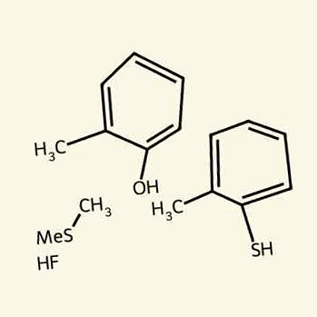 CSC.Cc1ccccc1O.Cc1ccccc1S.F